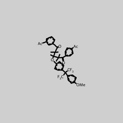 COc1ccc(C(c2ccc(OC(C)(C(C)(C)C(=O)c3ccc(C(C)=O)cc3)C(C)(C)C(=O)c3cccc(C(C)=O)c3)cc2)(C(F)(F)F)C(F)(F)F)cc1